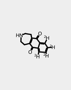 [2H]c1c([2H])c([2H])c2c(c1[2H])C(=O)C1=C(CCNCC1)C2=O